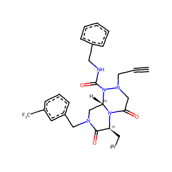 C#CCN1CC(=O)N2[C@@H](CC(C)C)C(=O)N(Cc3cccc(C(F)(F)F)c3)C[C@@H]2N1C(=O)NCc1ccccc1